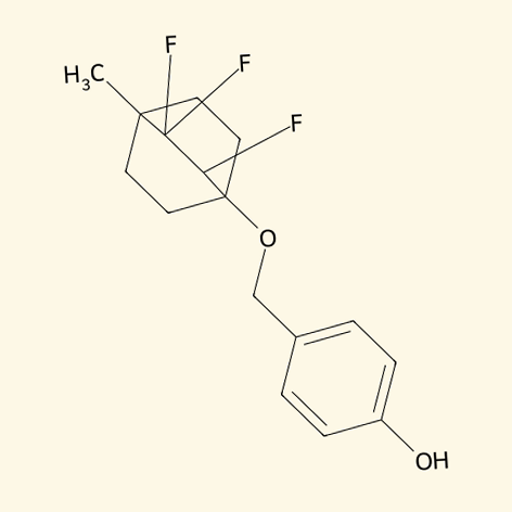 CC12CCC(OCc3ccc(O)cc3)(CC1)C(F)C2(F)F